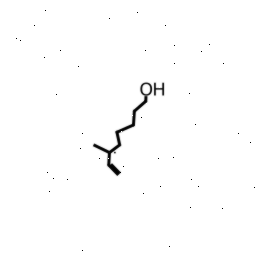 C=C[C](C)CCCCCO